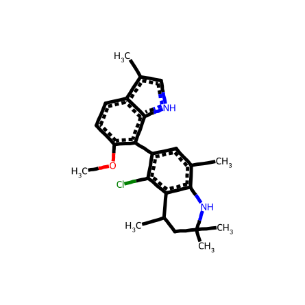 COc1ccc2c(C)c[nH]c2c1-c1cc(C)c2c(c1Cl)C(C)CC(C)(C)N2